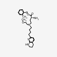 COCCN(CCCCc1ccc2c(n1)NCCC2)CC[C@H](N)C(=O)OOc1ccccc1C